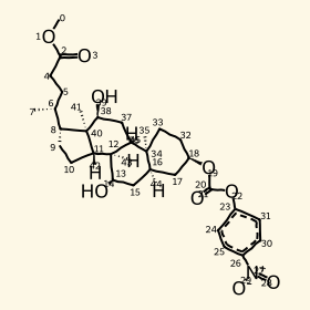 COC(=O)CC[C@@H](C)[C@H]1CC[C@H]2[C@@H]3[C@H](O)C[C@@H]4C[C@H](OC(=O)Oc5ccc([N+](=O)[O-])cc5)CC[C@]4(C)[C@H]3C[C@H](O)[C@]12C